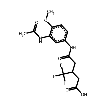 COc1ccc(NC(=O)CC(CC(=O)O)C(F)(F)F)cc1NC(C)=O